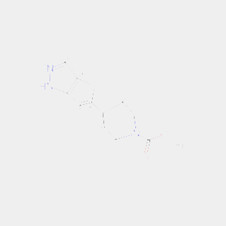 CC(C)(C)OC(=O)N1CCC(c2cc3[nH]ncc3s2)CC1